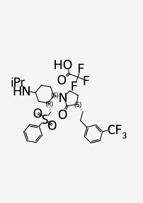 CC(C)NC1CC[C@H](N2CC[C@H](CCc3cccc(C(F)(F)F)c3)C2=O)[C@H](CS(=O)(=O)c2ccccc2)C1.O=C(O)C(F)(F)F